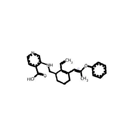 C=CC1=C(/C=C(\C)Oc2ccccc2)CCCC1CNc1cnccc1C(=O)O